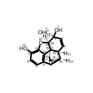 O=C[C@]1(O)C=C[C@H]2[C@H]3Cc4ccc(O)c5c4[C@@]2(CCN3)[C@H]1O5